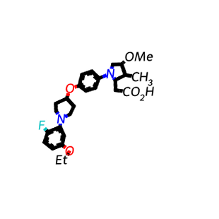 CCOc1ccc(F)c(N2CCC(Oc3ccc(N4CC(OC)C(C)C4CC(=O)O)cc3)CC2)c1